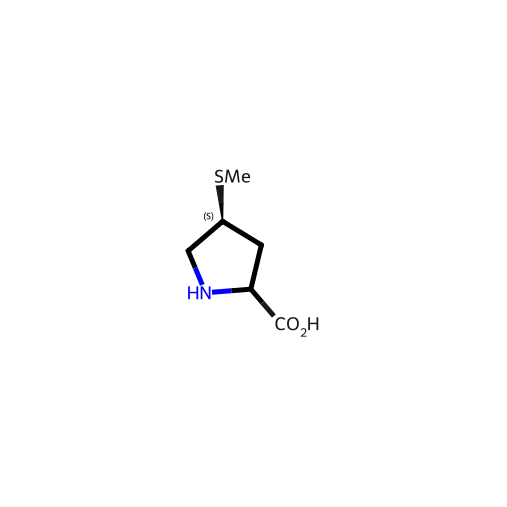 CS[C@@H]1CNC(C(=O)O)C1